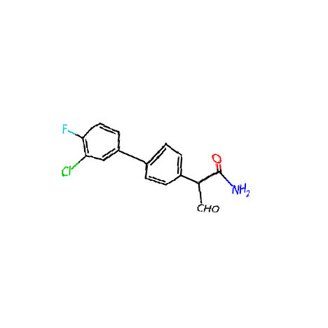 NC(=O)C(C=O)c1ccc(-c2ccc(F)c(Cl)c2)cc1